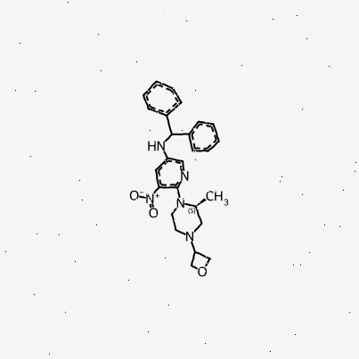 C[C@H]1CN(C2COC2)CCN1c1ncc(NC(c2ccccc2)c2ccccc2)cc1[N+](=O)[O-]